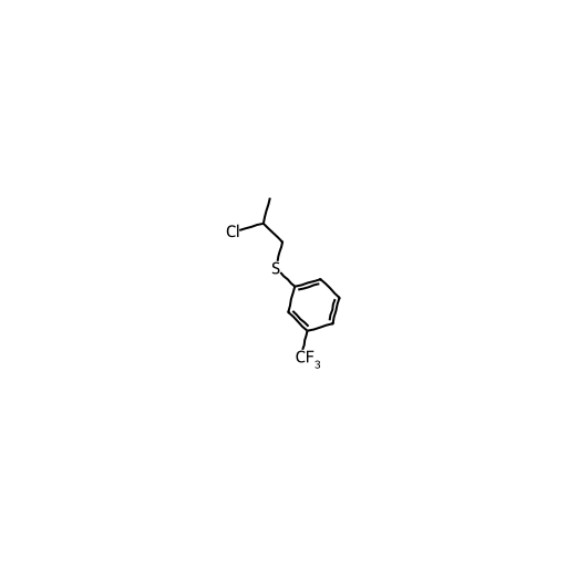 CC(Cl)CSc1cccc(C(F)(F)F)c1